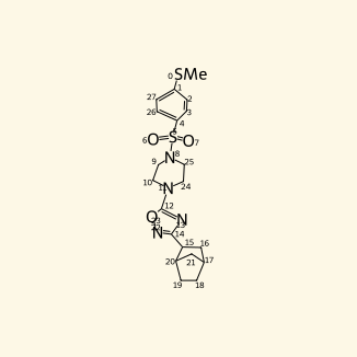 CSc1ccc(S(=O)(=O)N2CCN(c3nc(C4CC5CCC4C5)no3)CC2)cc1